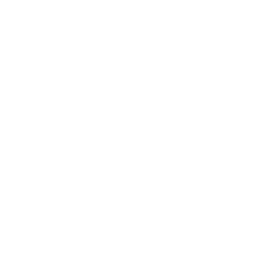 c1ccc2c(c1)Oc1ccc(-c3c4ccc(-c5cccc6ccccc56)cc4c(-c4ccc5c6c(cccc46)Oc4ccccc4-5)c4ccc(-c5cccc6ccccc56)cc34)c3cccc-2c13